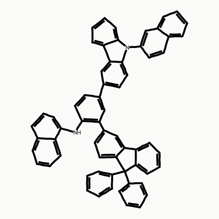 c1ccc(C2(c3ccccc3)c3ccccc3-c3cc(-c4cc(-c5ccc6c(c5)c5ccccc5n6-c5ccc6ccccc6c5)ccc4Nc4cccc5ccccc45)ccc32)cc1